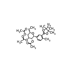 CS[C@H]1O[C@@H](c2ccc(C)c(B3OC(C)(C)C(C)(C)O3)c2)[C@H](OC(C)=O)[C@@H](OC(C)=O)[C@@H]1OC(C)=O